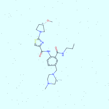 CCCNC(=O)c1cc(CN2CCN(C)C[C@H]2C)ccc1NC(=O)c1csc(N2CC[C@H](OC)C2)n1